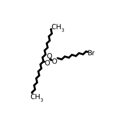 CCCCCCCCCCC(CCCCCCCCCC)OC(=O)OCCCCCCCCCBr